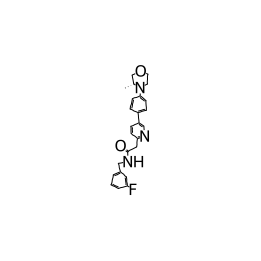 C[C@@H]1COCCN1c1ccc(-c2ccc(CC(=O)NCc3cccc(F)c3)nc2)cc1